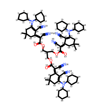 CC1(C)CC(N(C2CCCCC2)C2CCCCC2)=C(C#N)/C(=C(\C#N)C(=O)OCC(COC(=O)/C(C#N)=C2\CC(C)(C)CC(N(C3CCCCC3)C3CCCCC3)=C2C#N)COC(=O)/C(C#N)=C2\CC(C)(C)CC(N(C3CCCCC3)C3CCCCC3)=C2C#N)C1